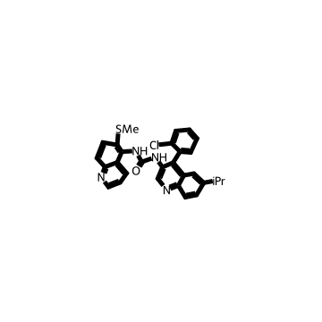 CSc1ccc2ncccc2c1NC(=O)Nc1cnc2ccc(C(C)C)cc2c1-c1ccccc1Cl